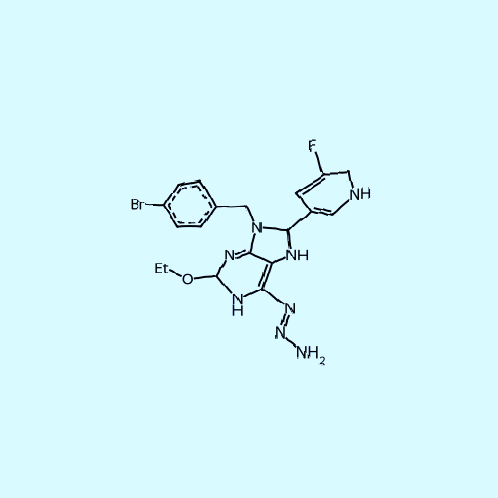 CCOC1N=C2C(=C(N=NN)N1)NC(C1=CNCC(F)=C1)N2Cc1ccc(Br)cc1